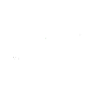 CCCC/C=C/C=C\CC[CH2][Mg+].[Br-]